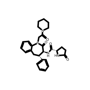 O=C1CC[C@@H](C(=O)N[C@@H]2C(=O)N(CC(=O)N3CCCCC3)c3ccccc3C[C@H]2c2ccccc2)N1